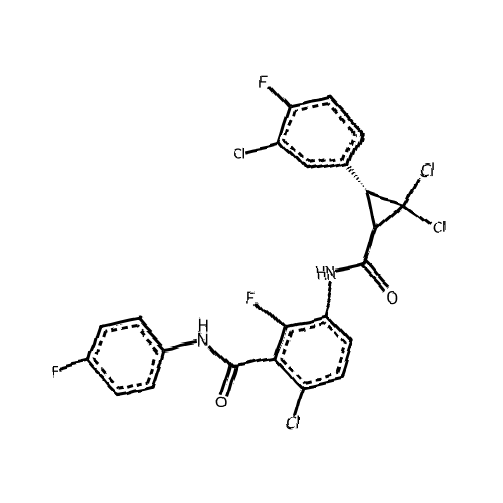 O=C(Nc1ccc(F)cc1)c1c(Cl)ccc(NC(=O)C2[C@H](c3ccc(F)c(Cl)c3)C2(Cl)Cl)c1F